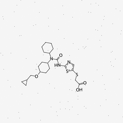 O=C(O)CSc1cnc(NC(=O)N(C2CCCCC2)C2CCC(OCC3CC3)CC2)s1